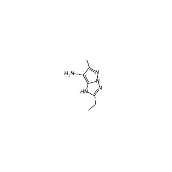 CCc1nn2nc(C)c(N)c2[nH]1